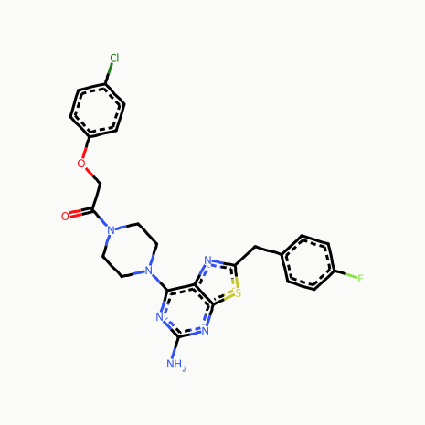 Nc1nc(N2CCN(C(=O)COc3ccc(Cl)cc3)CC2)c2nc(Cc3ccc(F)cc3)sc2n1